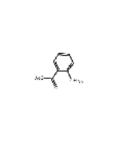 CC(=O)OC(=O)c1ccccc1O.[Na]